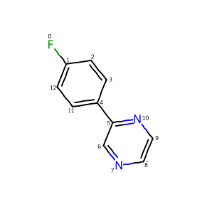 Fc1ccc(-c2cn[c]cn2)cc1